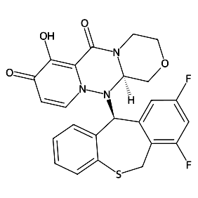 O=C1c2c(O)c(=O)ccn2N([C@@H]2c3ccccc3SCc3c(F)cc(F)cc32)[C@@H]2COCCN12